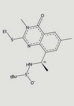 CCSc1nc2c([C@@H](C)N[S+]([O-])C(C)(C)C)cc(C)cc2c(=O)n1C